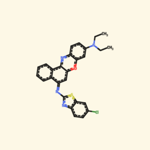 CCN(CC)c1ccc2nc3c4ccccc4/c(=N/c4nc5ccc(Cl)cc5s4)cc-3oc2c1